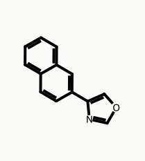 c1ccc2cc(-c3cocn3)ccc2c1